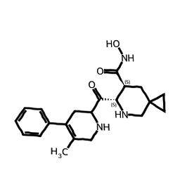 CC1=C(c2ccccc2)CC(C(=O)[C@H]2NCC3(CC3)C[C@@H]2C(=O)NO)NC1